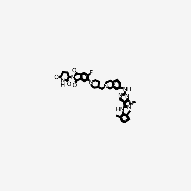 Cc1cccc(C)c1Nc1nn(C)c2nc(Nc3ccc4c(c3)CN(CC3CCN(c5cc6c(cc5F)C(=O)N(C5CCC(=O)NC5=O)C6=O)CC3)CC4)ncc12